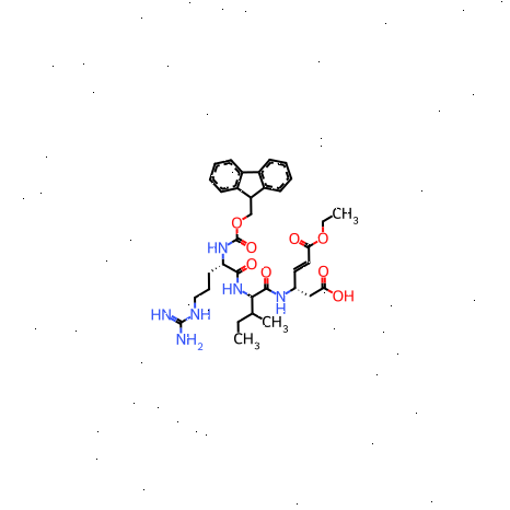 CCOC(=O)/C=C/[C@H](CC(=O)O)NC(=O)C(NC(=O)[C@H](CCCNC(=N)N)NC(=O)OCC1c2ccccc2-c2ccccc21)C(C)CC